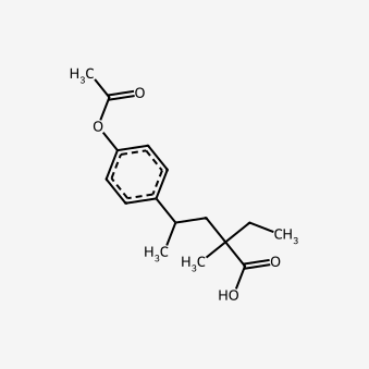 CCC(C)(CC(C)c1ccc(OC(C)=O)cc1)C(=O)O